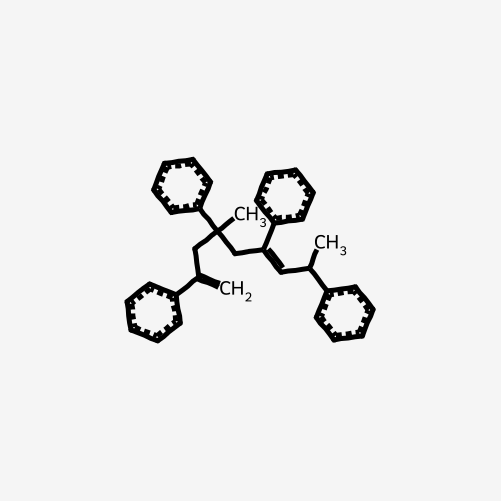 C=C(CC(C)(CC(=CC(C)c1ccccc1)c1ccccc1)c1ccccc1)c1ccccc1